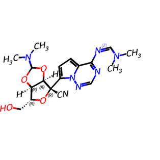 CN(C)/C=N\c1ncnn2c([C@]3(C#N)O[C@H](CO)[C@H]4OC(N(C)C)O[C@H]43)ccc12